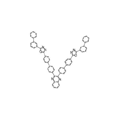 c1ccc(-c2cccc(-c3nnc(-c4ccc(-c5ccc(-c6nc7ccccc7nc6-c6ccc(-c7ccc(-c8nnc(-c9cccc(-c%10ccccc%10)c9)o8)cc7)cc6)cc5)cc4)o3)c2)cc1